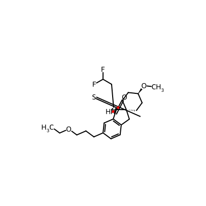 CCOCCCc1ccc2c(c1)C1(NC(=S)N(CC(F)F)C1=O)[C@]1(CC[C@H](OC)CC1)C2